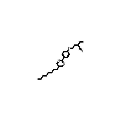 CCCCCCCCc1cnc(-c2ccc(OCCC(C#N)CC)cc2)nc1